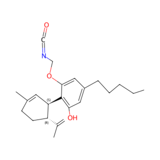 C=C(C)[C@@H]1CCC(C)=C[C@H]1c1c(O)cc(CCCCC)cc1OCN=C=O